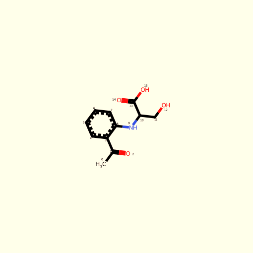 CC(=O)c1ccccc1NC(CO)C(=O)O